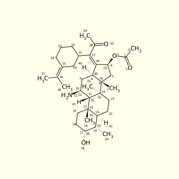 CC(=O)O[C@H]1C[C@@]2(C)[C@@H](C[C@H](N)[C@H]3[C@@]4(C)CC[C@@H](O)[C@@H](C)[C@@H]4CC[C@@]32C)/C1=C(/C(C)=O)C1CCCC(=C(C)C)C1